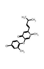 Cc1cc(Cl)ccc1Oc1cn(C)c(/C=C/C(C)C)cc1=O